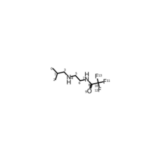 CC(C)CNCCNC(=O)C(F)(F)F